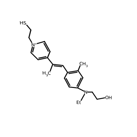 CCN(CCO)c1ccc(/C=C(\C)c2cc[n+](CCS)cc2)c(C)c1